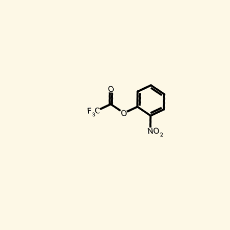 O=C(Oc1ccccc1[N+](=O)[O-])C(F)(F)F